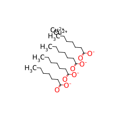 CCCCCCC(=O)[O-].CCCCCCC(=O)[O-].CCCCCCC(=O)[O-].CCCCCCC(=O)[O-].[Cu+2].[Cu+2]